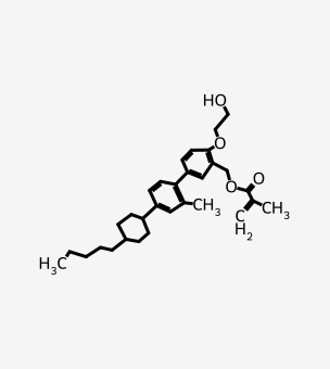 C=C(C)C(=O)OCc1cc(-c2ccc(C3CCC(CCCCC)CC3)cc2C)ccc1OCCO